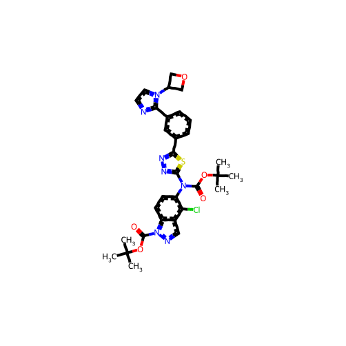 CC(C)(C)OC(=O)N(c1nnc(-c2cccc(-c3nccn3C3COC3)c2)s1)c1ccc2c(cnn2C(=O)OC(C)(C)C)c1Cl